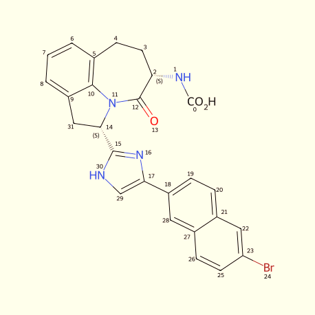 O=C(O)N[C@H]1CCc2cccc3c2N(C1=O)[C@H](c1nc(-c2ccc4cc(Br)ccc4c2)c[nH]1)C3